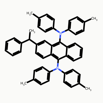 Cc1ccc(N(c2ccc(C)cc2)c2c3ccccc3c(N(c3ccc(C)cc3)c3ccc(C)cc3)c3cc(C(C)c4ccccc4)ccc23)cc1